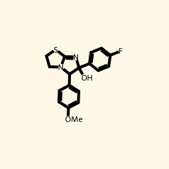 COc1ccc(C2N3CCSC3=NC2(O)c2ccc(F)cc2)cc1